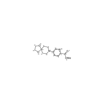 COC(=O)c1ccc(N2CCC3(CC2)OCCO3)cn1